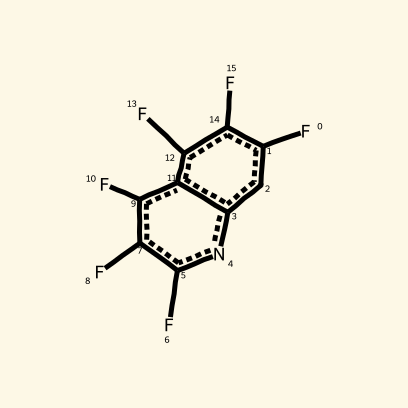 Fc1cc2nc(F)c(F)c(F)c2c(F)c1F